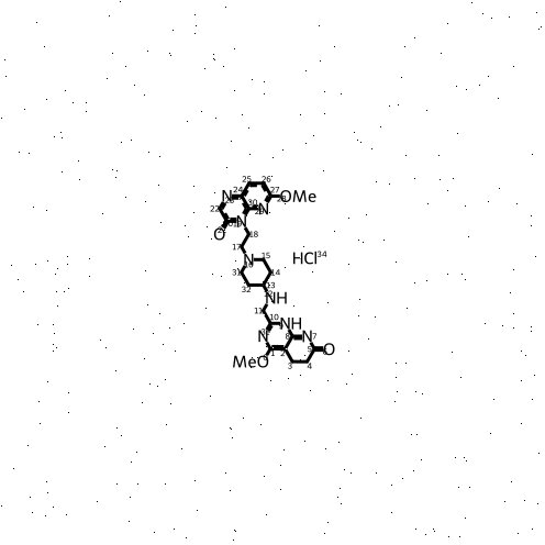 COC1=C2CCC(=O)N=C2NC(CNC2CCN(CCn3c(=O)cnc4ccc(OC)nc43)CC2)=N1.Cl